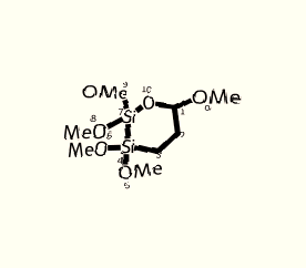 COC1CC[Si](OC)(OC)[Si](OC)(OC)O1